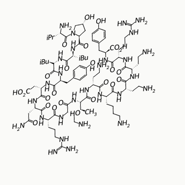 CC[C@H](C)[C@H](NC(=O)[C@@H](NC(=O)[C@@H]1C[C@@H](O)CN1C(=O)[C@@H](N)C(C)C)[C@@H](C)CC)C(=O)N[C@@H](Cc1ccc(O)cc1)C(=O)N[C@@H](CC(=O)O)C(=O)N[C@@H](CC(N)=O)C(=O)N[C@@H](CCCNC(=N)N)C(=O)N[C@@H](CCN)C(=O)N[C@H](C(=O)N[C@H](CCN)C(=O)N[C@@H](CCCCN)C(=O)N[C@@H](CCN)C(=O)N[C@@H](CCN)C(=O)N[C@@H](CCCNC(=N)N)C(=O)N[C@@H](Cc1ccc(O)cc1)C(=O)O)[C@@H](C)O